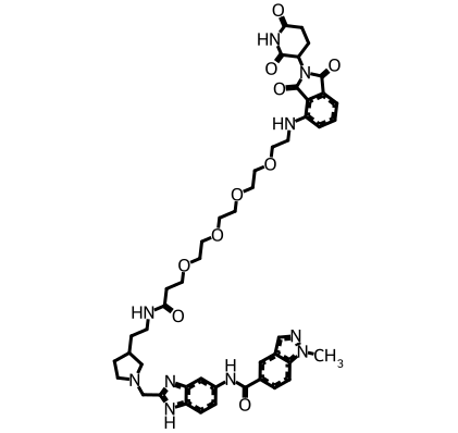 Cn1ncc2cc(C(=O)Nc3ccc4[nH]c(CN5CCC(CCNC(=O)CCOCCOCCOCCOCCNc6cccc7c6C(=O)N(C6CCC(=O)NC6=O)C7=O)C5)nc4c3)ccc21